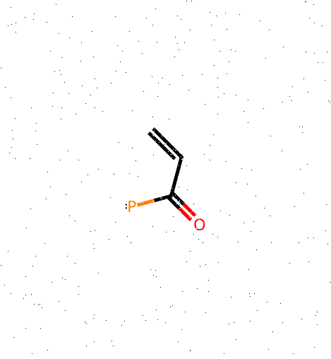 C=CC(=O)[P]